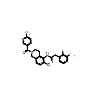 O=C(Cc1cccc(C(F)(F)F)c1F)Nc1c(Cl)ccc2c1CCN(C(=O)c1ccc(C(F)(F)F)nc1)C2